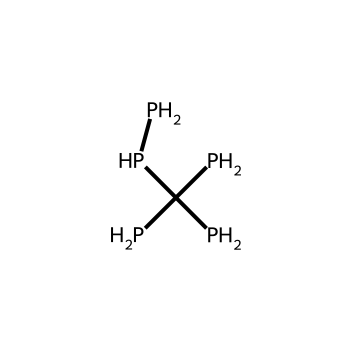 PPC(P)(P)P